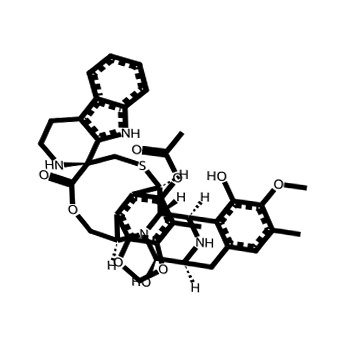 COc1c(C)cc2c(c1O)[C@H]1N[C@@H](C2)[C@@H](O)N2[C@@H]1[C@@H]1SC[C@]3(NCCc4c3[nH]c3ccccc43)C(=O)OC[C@H]2c2c3c(c(C)c(OC(C)=O)c21)OCO3